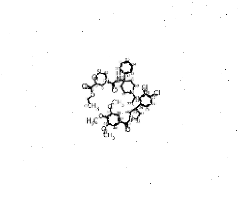 CCOC(=O)C1CN(C(=O)NC2(c3ccccc3)CCN(CC[C@]3(c4ccc(Cl)c(Cl)c4)CCN(C(=O)c4cc(OC)c(OC)c(OC)c4)C3)CC2)CCO1